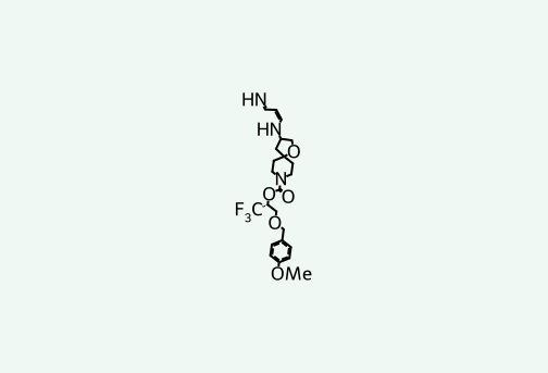 COc1ccc(COC[C@@H](OC(=O)N2CCC3(CC2)CC(N/C=C\C=N)CO3)C(F)(F)F)cc1